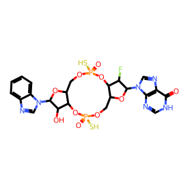 O=c1[nH]cnc2c1ncn2C1OC2COP(=O)(S)OC3C(COP(=O)(S)OC2C1F)OC(n1cnc2ccccc21)C3O